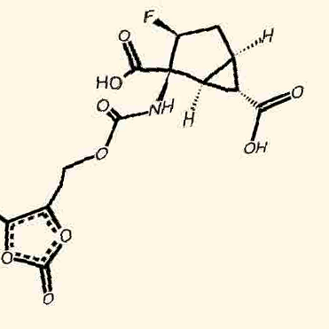 Cc1oc(=O)oc1COC(=O)N[C@]1(C(=O)O)[C@H]2[C@@H](C[C@@H]1F)[C@@H]2C(=O)O